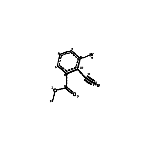 COC(=O)c1cccc(Br)c1C#N